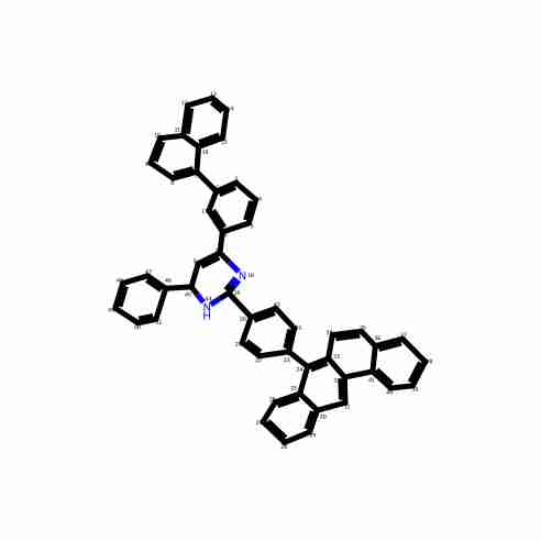 C1=C(c2cccc(-c3cccc4ccccc34)c2)N=C(c2ccc(-c3c4ccccc4cc4c3ccc3ccccc34)cc2)NC1c1ccccc1